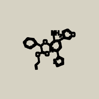 C=CCOC(=O)C(Oc1nc(-c2cccs2)cc(-c2ccoc2)c1N)c1ccccc1